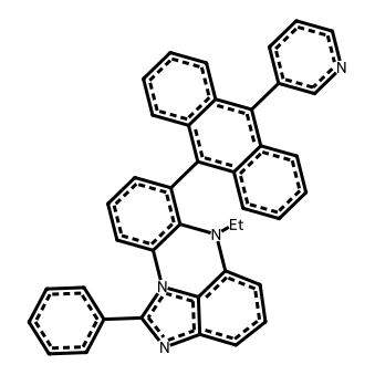 CCN1c2c(-c3c4ccccc4c(-c4cccnc4)c4ccccc34)cccc2-n2c(-c3ccccc3)nc3cccc1c32